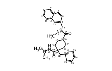 CN[C@H](Cc1ccc2ccccc2c1)C(=O)N1CCC(Cc2ccccc2)(C(=O)NN(C)C)CC1